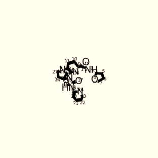 O=C(NC[C@@H]1CCCO1)c1ccc2c(n1)N(C(=O)Nc1ccccn1)[C@H]1CCN2C1